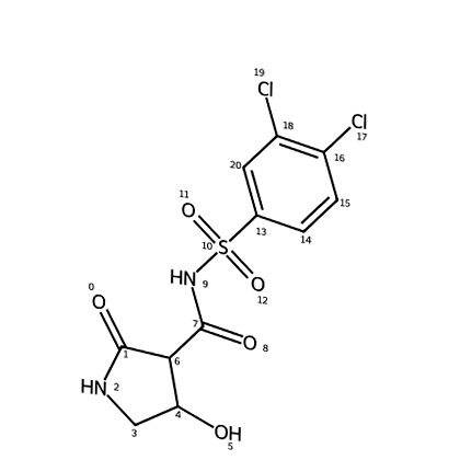 O=C1NCC(O)C1C(=O)NS(=O)(=O)c1ccc(Cl)c(Cl)c1